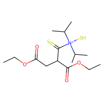 CCOC(=O)CC(C(=O)OCC)C(=S)[N+](S)(C(C)C)C(C)C